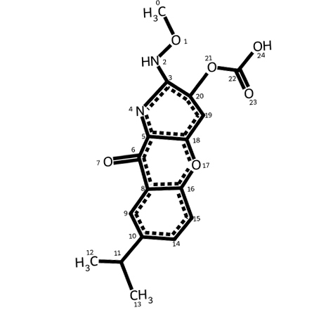 CONc1nc2c(=O)c3cc(C(C)C)ccc3oc2cc1OC(=O)O